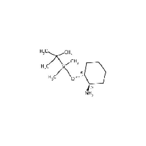 CC(C)(C)[Si](C)(C)O[C@@H]1CCCC[C@H]1N